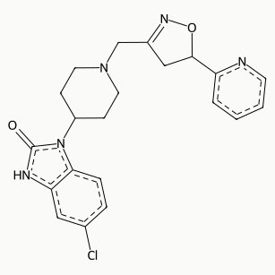 O=c1[nH]c2cc(Cl)ccc2n1C1CCN(CC2=NOC(c3ccccn3)C2)CC1